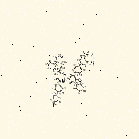 CC1(C)CCC(C)(C)c2cc(-c3ccc(-c4cc(C5=NC(c6ccc(-c7ccc(F)cc7)cc6)=CCC(c6cc7ccccc7c7ccccc67)=N5)cc5c4oc4ccccc45)cc3)ccc21